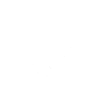 Clc1cccc(-c2ccccn2)c1